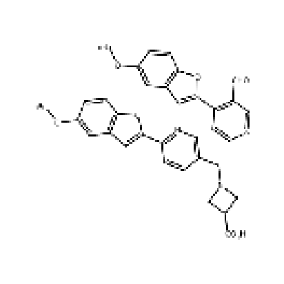 CCCCOc1ccc2oc(-c3ccc(CN4CC(C(=O)O)C4)cn3)cc2c1.CCCCOc1ccc2oc(-c3ccncc3C=O)cc2c1